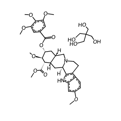 COC(=O)[C@H]1[C@H]2C[C@@H]3c4[nH]c5cc(OC)ccc5c4CCN3C[C@H]2C[C@@H](OC(=O)c2cc(OC)c(OC)c(OC)c2)[C@@H]1OC.OCC(CO)(CO)CO